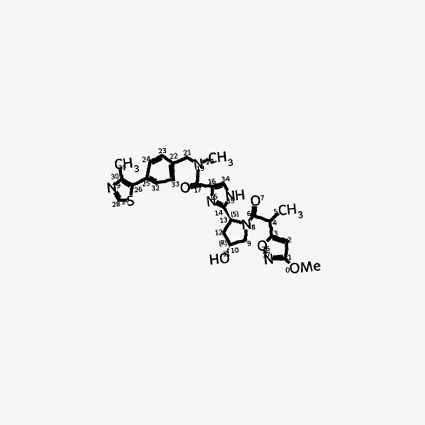 COc1cc(C(C)C(=O)N2C[C@H](O)C[C@H]2c2nc(C(=O)N(C)Cc3ccc(-c4scnc4C)cc3)c[nH]2)on1